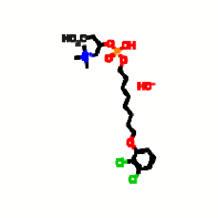 C[N+](C)(C)C[C@@H](CC(=O)O)OP(=O)(O)OCCCCCCCCOc1cccc(Cl)c1Cl.[OH-]